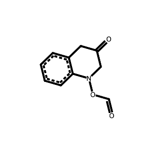 O=CON1CC(=O)Cc2ccccc21